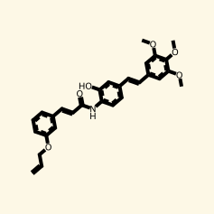 C=CCOc1cccc(/C=C/C(=O)Nc2ccc(C=Cc3cc(OC)c(OC)c(OC)c3)cc2O)c1